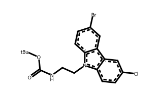 CC(C)(C)OC(=O)NCCn1c2ccc(Cl)cc2c2cc(Br)ccc21